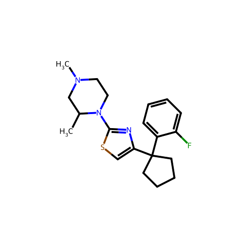 CC1CN(C)CCN1c1nc(C2(c3ccccc3F)CCCC2)cs1